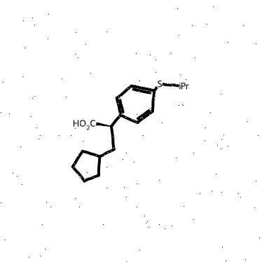 CC(C)Sc1ccc([C@@H](CC2CCCC2)C(=O)O)cc1